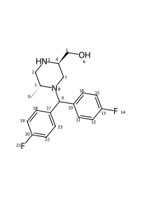 C[C@@H]1CN[C@@H](CO)CN1C(c1ccc(F)cc1)c1ccc(F)cc1